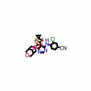 CC1(OC(=O)N2CC3COCC(C2)C3Oc2ncnc(Nc3ccc(C#N)cc3Cl)c2C(F)F)CC1